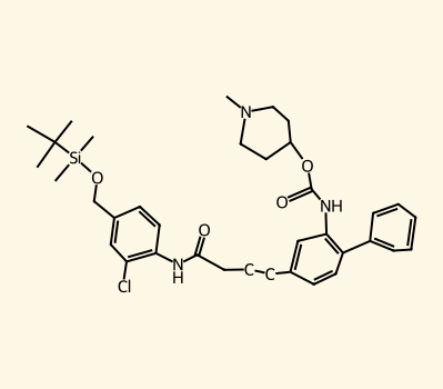 CN1CCC(OC(=O)Nc2cc(CCCC(=O)Nc3ccc(CO[Si](C)(C)C(C)(C)C)cc3Cl)ccc2-c2ccccc2)CC1